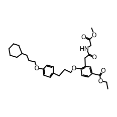 CCOC(=O)c1ccc(OCCCc2ccc(OCCCC3CCCCC3)cc2)c(CC(=O)NCC(=O)OC)c1